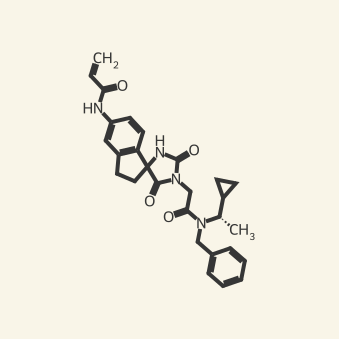 C=CC(=O)Nc1ccc2c(c1)CCC21NC(=O)N(CC(=O)N(Cc2ccccc2)[C@@H](C)C2CC2)C1=O